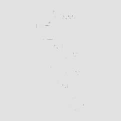 CC[C@H](C)C(NC)[C@H](O)CC(=O)NCC1OC(C(=O)NCc2ccccc2)[C@@H](OC)[C@@H]1OC